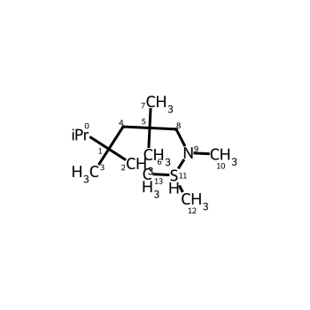 CC(C)C(C)(C)CC(C)(C)CN(C)[SH](C)C